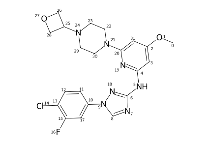 COc1cc(Nc2ncn(-c3ccc(Cl)c(F)c3)n2)nc(N2CCN(C3COC3)CC2)c1